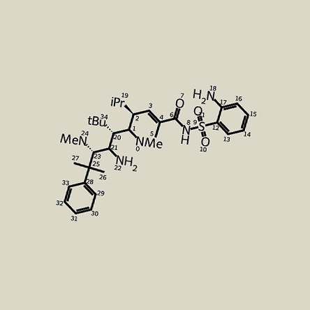 CNC([C@H](/C=C(\C)C(=O)NS(=O)(=O)c1ccccc1N)C(C)C)[C@H](C(N)[C@@H](NC)C(C)(C)c1ccccc1)C(C)(C)C